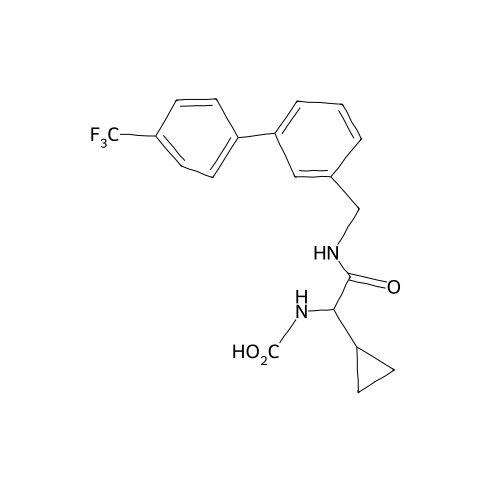 O=C(O)NC(C(=O)NCc1cccc(-c2ccc(C(F)(F)F)cc2)c1)C1CC1